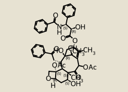 CC(=O)OC1C(=O)[C@@]2(C)C([C@H](CC(=O)c3ccccc3)[C@]3(O)C[C@H](OC(=O)[C@H](O)[C@@H](NC(=O)c4ccccc4)c4ccccc4)C(C)=C1C3(C)C)[C@]1(OC(C)=O)CO[C@@H]1C[C@@H]2O